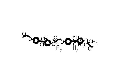 CC(C)(c1ccc(OCC2OCC2(C)Oc2ccc(C(C)(C)c3ccc(OCC4CO4)cc3)cc2)cc1)c1ccc(OC(C)(C)C2CO2)cc1